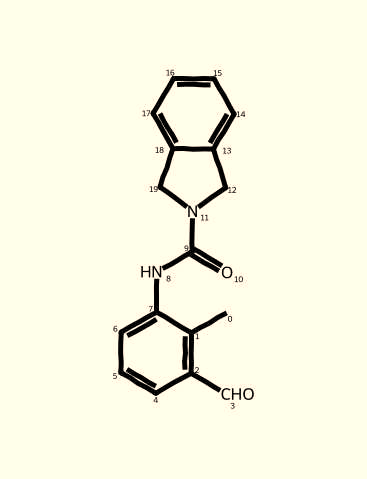 Cc1c(C=O)cccc1NC(=O)N1Cc2ccccc2C1